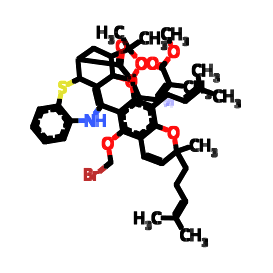 COC(=O)/C(C)=C\CC12OC(C)(C)C3CC(C1=O)C1Sc4ccccc4NC4=C1C32Oc1c(CC=C(C)C)c2c(c(OCBr)c14)C=CC(C)(CCC=C(C)C)O2